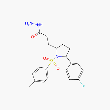 Cc1ccc(S(=O)(=O)N2C(CCC(=O)NN)CCC2c2ccc(F)cc2)cc1